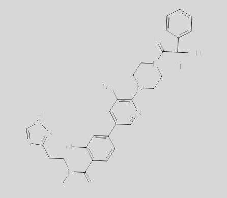 CN(CCc1nc[nH]n1)C(=O)c1ccc(-c2cnc(N3CCN(C(=O)[C@](O)(c4ccccc4)C(F)(F)F)CC3)c(C#N)c2)cc1Cl